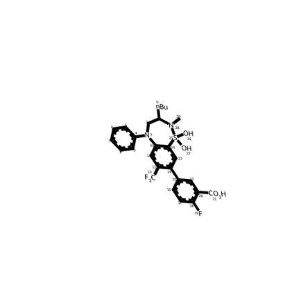 CCCCC1CN(c2ccccc2)c2cc(C(F)(F)F)c(-c3ccc(F)c(C(=O)O)c3)cc2S(O)(O)N1C